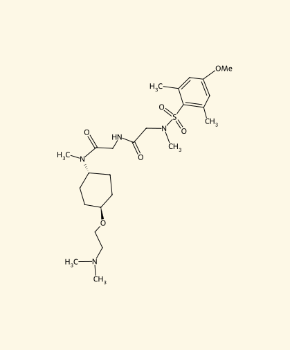 COc1cc(C)c(S(=O)(=O)N(C)CC(=O)NCC(=O)N(C)[C@H]2CC[C@H](OCCN(C)C)CC2)c(C)c1